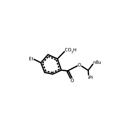 CCCCC(OC(=O)c1ccc(CC)cc1C(=O)O)C(C)C